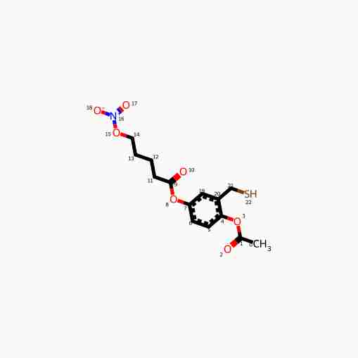 CC(=O)Oc1ccc(OC(=O)CCCCO[N+](=O)[O-])cc1CS